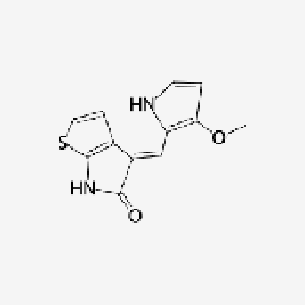 COc1cc[nH]c1/C=C1/C(=O)Nc2sccc21